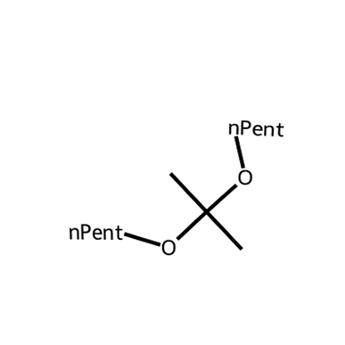 CCCCCOC(C)(C)OCCCCC